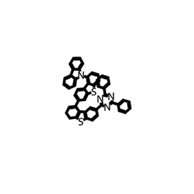 C1=C(c2ccc3c(c2)sc2cccc(-n4c5ccccc5c5ccccc54)c23)c2c(sc3ccc(-c4nc(-c5ccccc5)nc(-c5ccccc5)n4)cc23)CC1